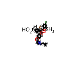 Cc1cc(F)cc(C)c1C(=O)c1sc2cc(C(=O)O)ccc2c1Oc1ccc(O[C@H]2CCN(CCC3CC3)C2)cc1